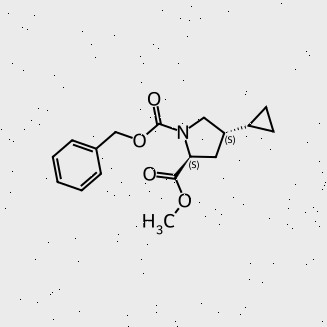 COC(=O)[C@@H]1C[C@@H](C2CC2)CN1C(=O)OCc1ccccc1